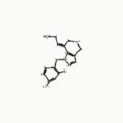 NC/C=C1\COCc2cnn(Cc3ccc(Cl)cc3Cl)c21